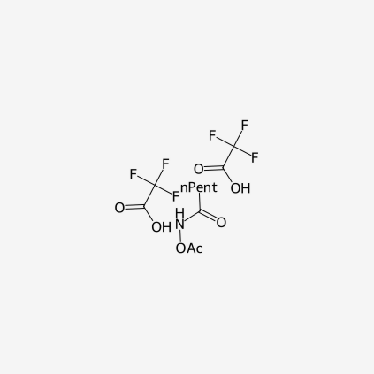 CCCCCC(=O)NOC(C)=O.O=C(O)C(F)(F)F.O=C(O)C(F)(F)F